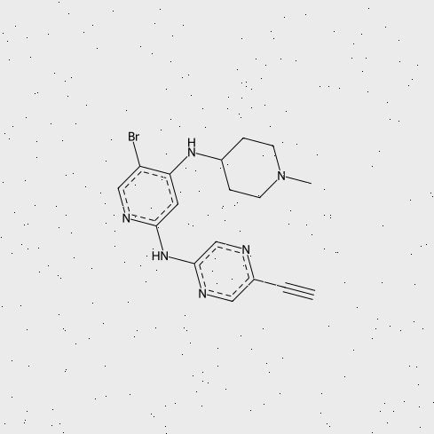 C#Cc1cnc(Nc2cc(NC3CCN(C)CC3)c(Br)cn2)cn1